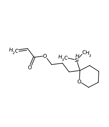 C=CC(=O)OCCCC1([SiH](C)C)CCCCO1